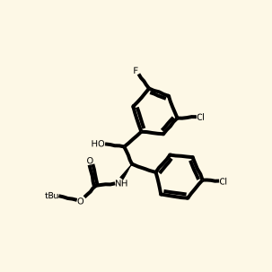 CC(C)(C)OC(=O)N[C@H](c1ccc(Cl)cc1)C(O)c1cc(F)cc(Cl)c1